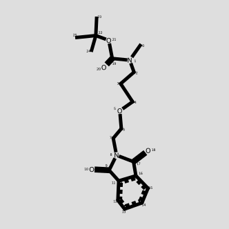 CN(CCCOCCN1C(=O)c2ccccc2C1=O)C(=O)OC(C)(C)C